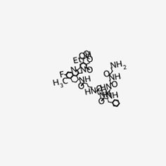 CC[C@@]1(O)C(=O)OCc2c1cc1n(c2=O)Cc2c-1nc1cc(F)c(C)c3c1c2C(NC(=O)CCCNC(=O)CNC(=O)[C@H](Cc1ccccc1)NC(=O)CNC(=O)CNC(=O)CCN)CC3